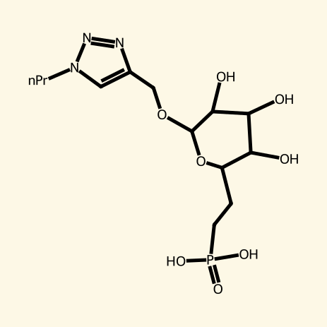 CCCn1cc(COC2OC(CCP(=O)(O)O)C(O)C(O)C2O)nn1